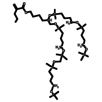 C=C(CCC)C(=O)OCCCC[SiH](CO[Si](C)(C)CCC[SiH2]O[Si](C)(C)CO[Si](C)(C)CCC[SiH2]O[Si](C)(C)C)O[Si](C)(C)CCC[SiH2]O[Si](C)(C)CCC[SiH2]O[Si](C)(C)C